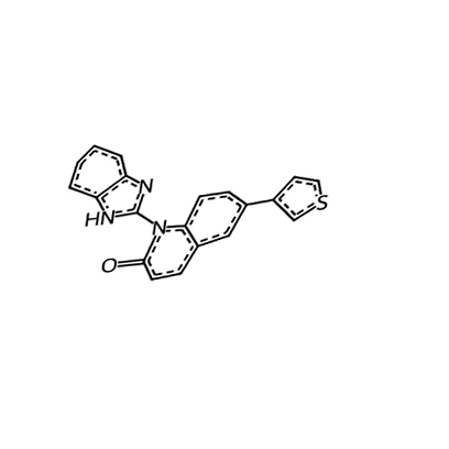 O=c1ccc2cc(-c3ccsc3)ccc2n1-c1nc2ccccc2[nH]1